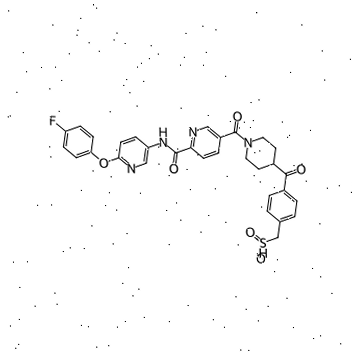 O=C(Nc1ccc(Oc2ccc(F)cc2)nc1)c1ccc(C(=O)N2CCC(C(=O)c3ccc(C[SH](=O)=O)cc3)CC2)cn1